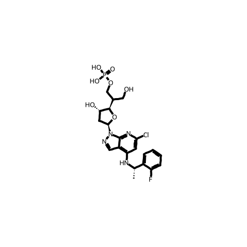 C[C@H](Nc1cc(Cl)nc2c1cnn2[C@H]1C[C@H](O)[C@@H](C(CO)COP(=O)(O)O)O1)c1ccccc1F